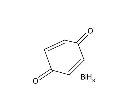 O=C1C=CC(=O)C=C1.[BiH3]